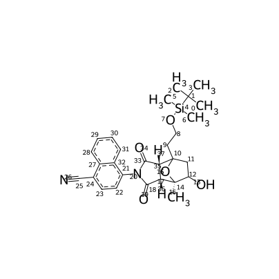 CC(C)(C)[Si](C)(C)OCCC12CC(O)[C@](C)(O1)[C@@H]1C(=O)N(c3ccc(C#N)c4ccccc34)C(=O)[C@@H]12